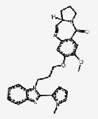 COc1cc2c(cc1OCCCn1c(-c3cccn3C)nc3ccccc31)N=C[C@@H]1CCCN1C2=O